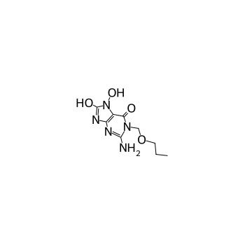 CCCOCn1c(N)nc2nc(O)n(O)c2c1=O